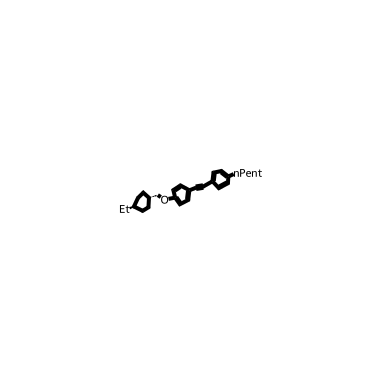 CCCCCc1ccc(C#Cc2ccc(OC[C@H]3CC[C@H](CC)CC3)cc2)cc1